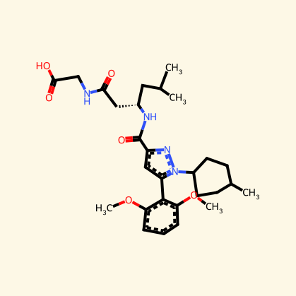 COc1cccc(OC)c1-c1cc(C(=O)N[C@H](CC(=O)NCC(=O)O)CC(C)C)nn1C1CCC(C)CC1